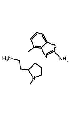 CN1CCCC1CCN.Cc1cccc2sc(N)nc12